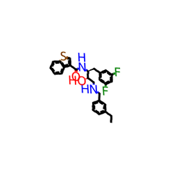 CCc1cccc(CNC[C@H](O)[C@H](Cc2cc(F)cc(F)c2)NC(=O)c2csc3ccccc23)c1